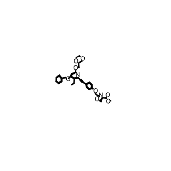 CCc1c(OCc2ccccc2)cc(OCC2COCCO2)nc1C#Cc1ccc(OCc2nc(C(=O)OC)co2)cc1